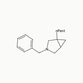 CCCCCC12CC1CN(Cc1ccccc1)C2